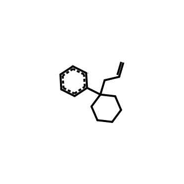 C=CCC1(c2[c]cccc2)CCCCC1